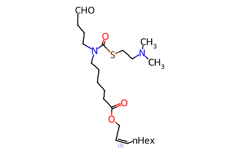 CCCCCC/C=C\COC(=O)CCCCCN(CCCC=O)C(=O)SCCN(C)C